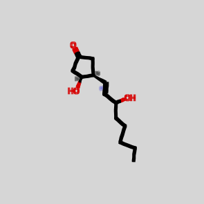 CCCCCC(O)/C=C/[C@@H]1CC(=O)C[C@@H]1O